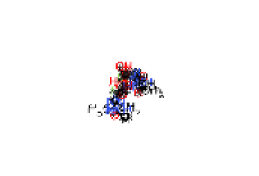 C=Nc1c(/C(=N\C)NC(=O)c2ccccc2)ncn1[C@@H]1O[C@H](COP(O)(=S)O[C@@H]2[C@H](F)[C@@H](CO)O[C@H]2n2cnc3c(=O)[nH]c(NC(=O)C(C)C)nc32)[C@@H](O)[C@H]1F